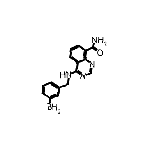 Bc1cccc(CNc2ncnc3c(C(N)=O)cccc23)c1